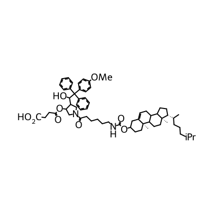 COc1ccc(C(c2ccccc2)(c2ccccc2)C(O)C2CN(C(=O)CCCCCNC(=O)OC3CC[C@@]4(C)C(=CCC5C4CC[C@@]4(C)C5CC[C@@H]4C(C)CCCC(C)C)C3)CC2OC(=O)CCC(=O)O)cc1